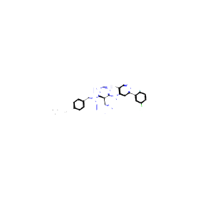 COc1ccc(CNC2=C(CN)C(Nc3cc(-c4cc(Cl)ccc4F)ncc3C(C)C)=NCN2)cc1